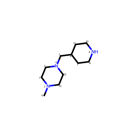 CN1CCN(CC2CCNCC2)CC1